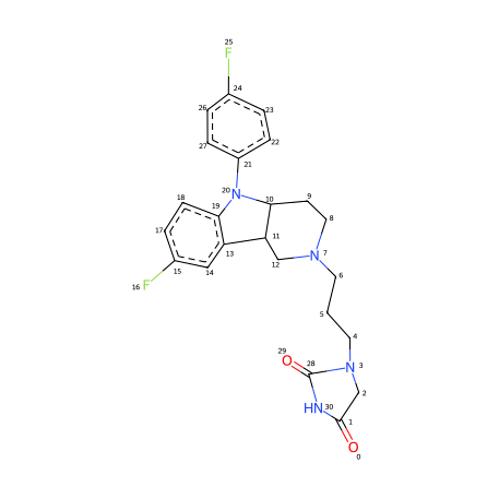 O=C1CN(CCCN2CCC3C(C2)c2cc(F)ccc2N3c2ccc(F)cc2)C(=O)N1